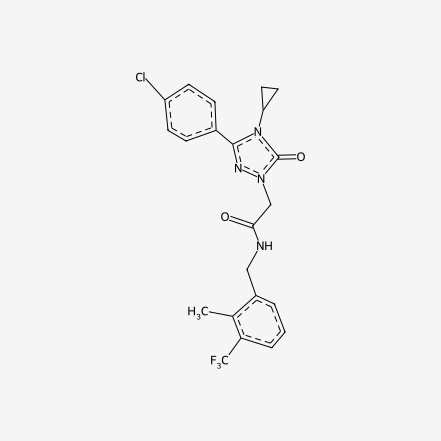 Cc1c(CNC(=O)Cn2nc(-c3ccc(Cl)cc3)n(C3CC3)c2=O)cccc1C(F)(F)F